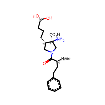 CN[C@@H](CCc1ccccc1)C(=O)N1C[C@H](CCCB(O)O)[C@](N)(C(=O)O)C1